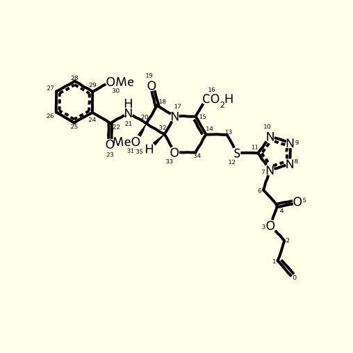 C=CCOC(=O)Cn1nnnc1SCC1=C(C(=O)O)N2C(=O)[C@](NC(=O)c3ccccc3OC)(OC)[C@H]2OC1